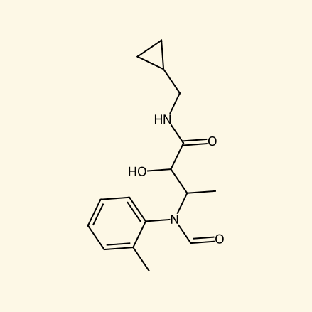 Cc1ccccc1N(C=O)C(C)C(O)C(=O)NCC1CC1